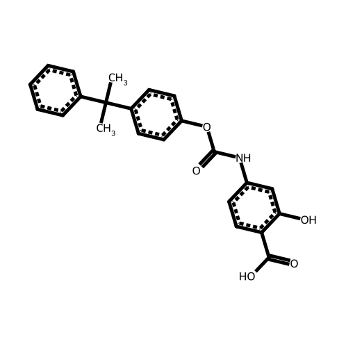 CC(C)(c1ccccc1)c1ccc(OC(=O)Nc2ccc(C(=O)O)c(O)c2)cc1